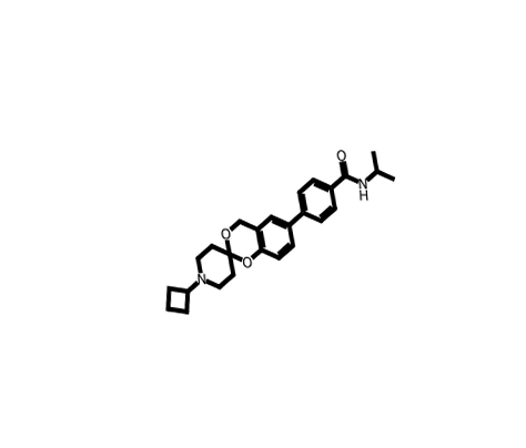 CC(C)NC(=O)c1ccc(-c2ccc3c(c2)COC2(CCN(C4CCC4)CC2)O3)cc1